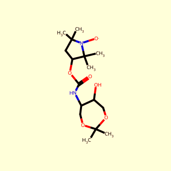 CC1(C)OCC(O)C(NC(=O)OC2CC(C)(C)N([O])C2(C)C)CO1